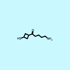 NCCCCC(=O)C1CC(S)C1